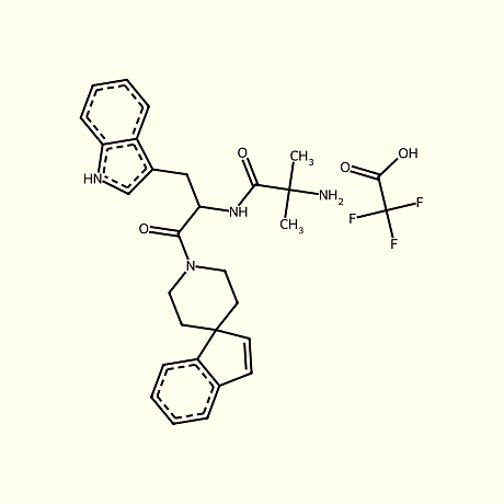 CC(C)(N)C(=O)NC(Cc1c[nH]c2ccccc12)C(=O)N1CCC2(C=Cc3ccccc32)CC1.O=C(O)C(F)(F)F